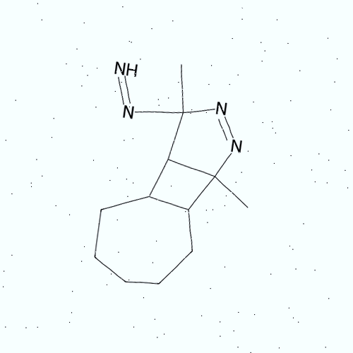 CC1(N=N)N=NC2(C)C3CCCCCC3C12